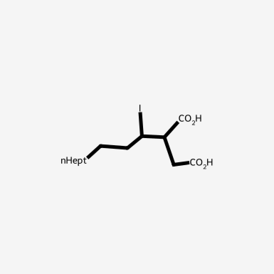 CCCCCCCCCC(I)C(CC(=O)O)C(=O)O